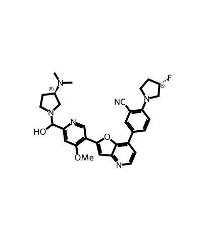 COc1cc(C(O)N2CC[C@@H](N(C)C)C2)ncc1-c1cc2nccc(-c3ccc(N4CC[C@H](F)C4)c(C#N)c3)c2o1